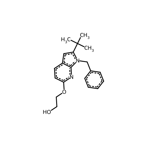 CC(C)(C)c1cc2ccc(OCCO)nc2n1Cc1ccccc1